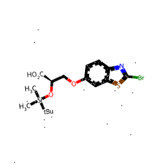 CC(C)(C)[Si](C)(C)O[C@H](COc1ccc2nc(Br)sc2c1)C(=O)O